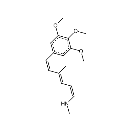 CN\C=C/C=C(C)/C=C\c1cc(OC)c(OC)c(OC)c1